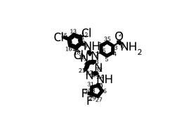 NC(=O)[C@H]1CC[C@H](n2c(Nc3c(Cl)cc(Cl)cc3Cl)nc3cnc(N[C@H]4CCC(F)(F)C4)nc32)CC1